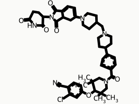 CC1(C)CN(C(=O)c2ccc(C3CCN(CC4CCN(C5=CC=C6C(=O)N(C7CCC(=O)NC7=O)C(=O)C6C5)CC4)CC3)cc2)CC(C)(C)C1Oc1ccc(C#N)c(Cl)c1